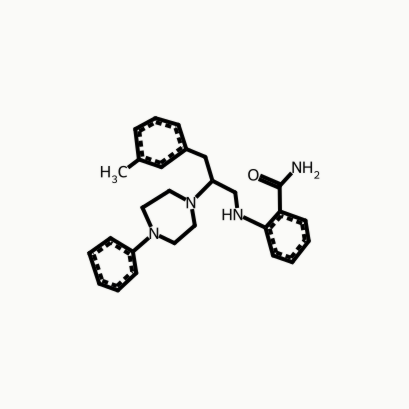 Cc1cccc(CC(CNc2ccccc2C(N)=O)N2CCN(c3ccccc3)CC2)c1